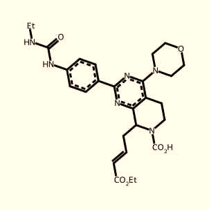 CCNC(=O)Nc1ccc(-c2nc3c(c(N4CCOCC4)n2)CCN(C(=O)O)C3CC=CC(=O)OCC)cc1